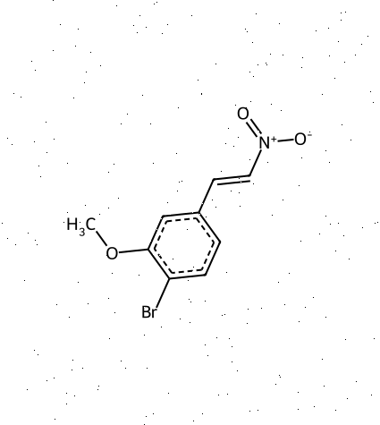 COc1cc(C=C[N+](=O)[O-])ccc1Br